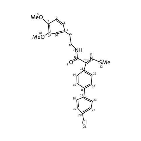 COc1ccc(CCNC(=O)C(=NSC)c2ccc(-c3ccc(Cl)cc3)cc2)cc1OC